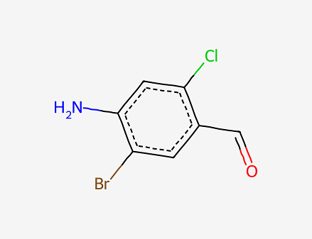 Nc1cc(Cl)c(C=O)cc1Br